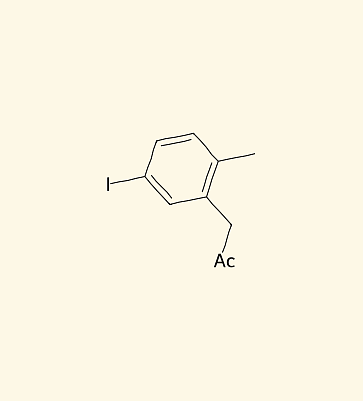 CC(=O)Cc1cc(I)ccc1C